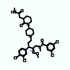 CNC(=O)CC1CCCN(C2CCN(CCC(/C(CN(C)C(=O)c3cc(Cl)cc(Cl)c3)=N/OC)c3ccc(Cl)c(Cl)c3)CC2)C1=O